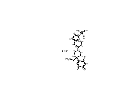 Cl.NCC1(c2cc(F)c(F)cc2F)CCC(N2CCn3c(nnc3C(F)(F)F)C2)CC1